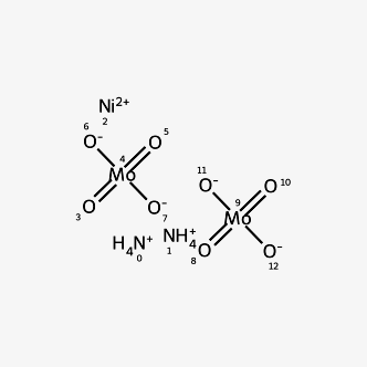 [NH4+].[NH4+].[Ni+2].[O]=[Mo](=[O])([O-])[O-].[O]=[Mo](=[O])([O-])[O-]